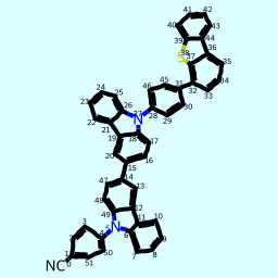 N#Cc1ccc(-n2c3ccccc3c3cc(-c4ccc5c(c4)c4ccccc4n5-c4ccc(-c5cccc6c5sc5ccccc56)cc4)ccc32)cc1